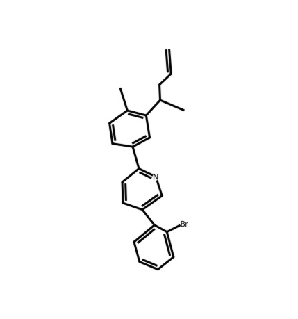 C=CCC(C)c1cc(-c2ccc(-c3ccccc3Br)cn2)ccc1C